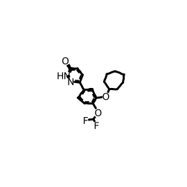 O=c1ccc(-c2ccc(OC(F)F)c(OC3CCCCCC3)c2)n[nH]1